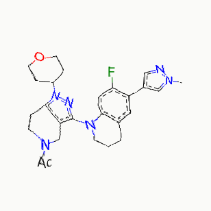 CC(=O)N1CCc2c(c(N3CCCc4cc(-c5cnn(C)c5)c(F)cc43)nn2C2CCOCC2)C1